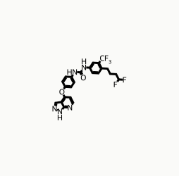 O=C(Nc1ccc(Oc2ccnc3[nH]ncc23)cc1)Nc1ccc(CCCC(F)F)c(C(F)(F)F)c1